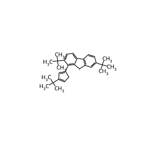 CC(C)(C)C1=CCC(c2c(C(C)(C)C)ccc3c2[CH]c2cc(C(C)(C)C)ccc2-3)=C1